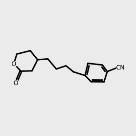 N#Cc1ccc(CCCCC2CCOC(=O)C2)cc1